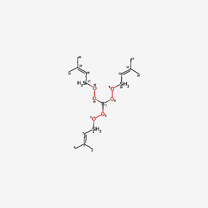 CC(C)=C[SiH2]OOB(OO[SiH2]C=C(C)C)OO[SiH2]C=C(C)C